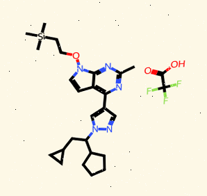 Cc1nc(-c2cnn(C(CC3CC3)C3CCCC3)c2)c2ccn(OCC[Si](C)(C)C)c2n1.O=C(O)C(F)(F)F